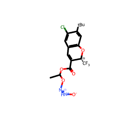 CC(O/N=[NH+]\[O-])OC(=O)C1=Cc2cc(Cl)c(C(C)(C)C)cc2O[C@@H]1C(F)(F)F